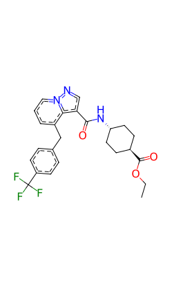 CCOC(=O)[C@H]1CC[C@H](NC(=O)c2cnn3cccc(Cc4ccc(C(F)(F)F)cc4)c23)CC1